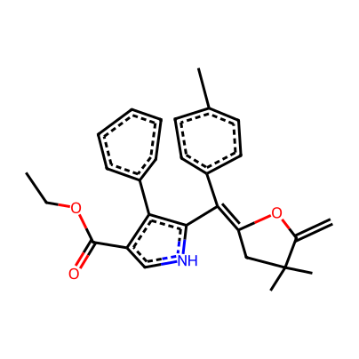 C=C1O/C(=C(\c2ccc(C)cc2)c2[nH]cc(C(=O)OCC)c2-c2ccccc2)CC1(C)C